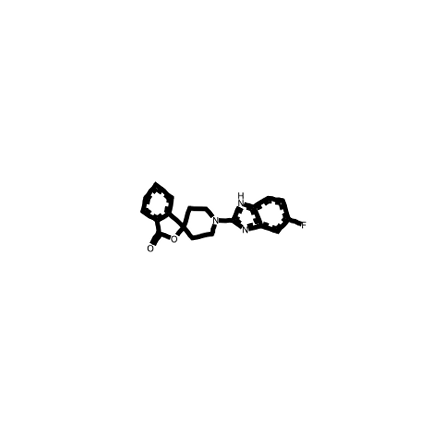 O=C1OC2(CCN(c3nc4cc(F)ccc4[nH]3)CC2)c2ccccc21